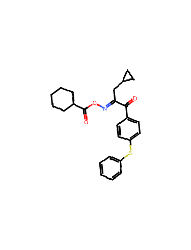 O=C(/C(CC1CC1)=N/OC(=O)C1CCCCC1)c1ccc(Sc2ccccc2)cc1